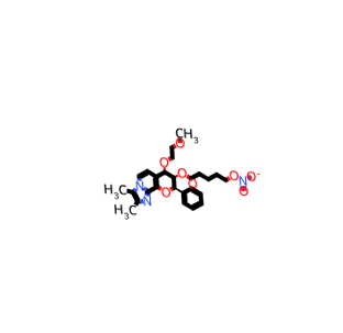 COCCO[C@@H]1c2ccn3c(C)c(C)nc3c2O[C@H](c2ccccc2)[C@@H]1OC(=O)CCCCO[N+](=O)[O-]